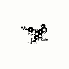 COC(=O)c1nc(C(=O)NC(C)(C)C)ccc1-c1cc2c(cc1C(=O)Nc1ccc(CN)cc1C)-c1sccc1CCO2